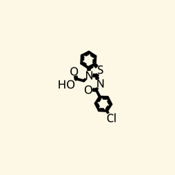 O=C(O)Cn1c(=NC(=O)c2ccc(Cl)cc2)sc2ccccc21